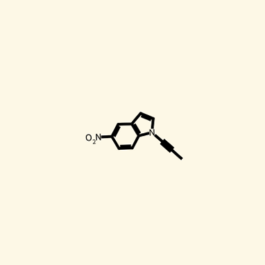 CC#Cn1ccc2cc([N+](=O)[O-])ccc21